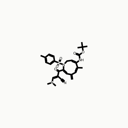 C=C1/C=C(C)\C(NC(=O)OC(C)(C)C)=C/CN(S(=O)(=O)c2ccc(C)cc2)/C(C(=O)/C(C#N)=C/N(C)C)=C\1